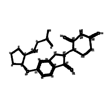 CC(C)CN[C@@H]1CCC[C@@H]1Oc1ccc2c(c1)CN(C1CCC(=O)NC1=O)C2=O